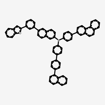 c1cc(-c2ccc3cc(N(c4ccc(-c5ccc(-c6cccc7ccccc67)cc5)cc4)c4ccc(-c5ccc6c(ccc7ccccc76)c5)cc4)ccc3c2)cc(-c2cc3ccccc3o2)c1